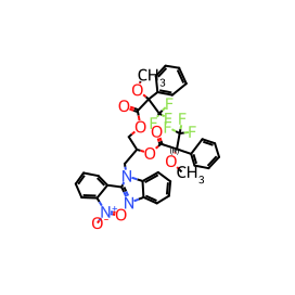 COC(C(=O)OCC(Cn1c(-c2ccccc2[N+](=O)[O-])nc2ccccc21)OC(=O)[C@](OC)(c1ccccc1)C(F)(F)F)(c1ccccc1)C(F)(F)F